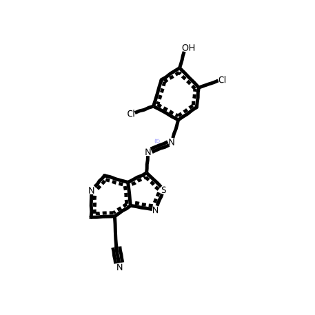 N#Cc1cncc2c(/N=N/c3cc(Cl)c(O)cc3Cl)snc12